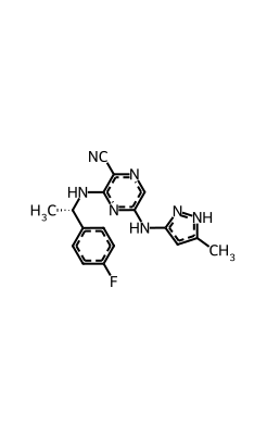 Cc1cc(Nc2cnc(C#N)c(N[C@@H](C)c3ccc(F)cc3)n2)n[nH]1